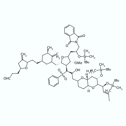 C=C1C[C@H](CCC=O)OC1CC[C@@H]1CC(C[C@@H]2OC(C[C@@H](CN3C(=O)c4ccccc4C3=O)O[Si](C)(C)C(C)(C)C)[C@H](OC)[C@H]2[C@@H](C(O)CC2CC[C@@H]3OC([C@H](/C=C/I)O[Si](C)(C)C(C)(C)C)[C@@H](O[Si](C)(C)C(C)(C)C)[C@@H](C)[C@H]3O2)S(=O)(=O)c2ccccc2)C(=C)[C@H](C)C1